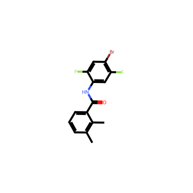 Cc1cccc(C(=O)Nc2cc(F)c(Br)cc2F)c1C